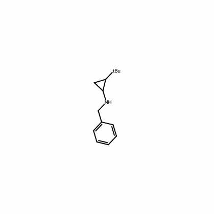 CC(C)(C)C1CC1NCc1ccccc1